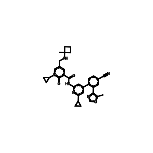 Cc1ocnc1-c1cc(C#N)ccc1-c1cc(NC(=O)c2cc(CNC3(C)CCC3)cn(C3CC3)c2=O)nc(C2CC2)c1